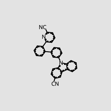 N#Cc1ccc2c(c1)c1ccccc1n2-c1cccc(-c2ccccc2-c2cccc(C#N)n2)c1